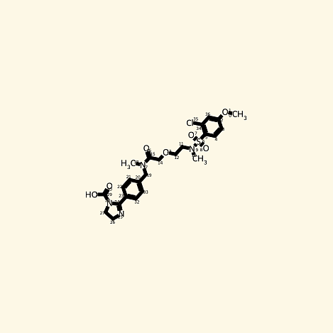 COc1ccc(S(=O)(=O)N(C)CCOCC(=O)N(C)Cc2ccc(C3=NCCN3C(=O)O)cc2)c(Cl)c1